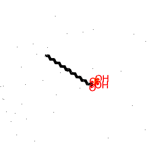 CCCCCCCCC=CCCCCCCCC(=O)OP(O)O